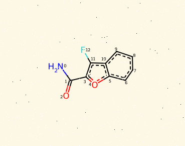 NC(=O)c1oc2ccccc2c1F